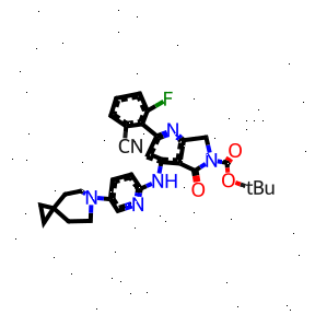 CC(C)(C)OC(=O)N1Cc2nc(-c3c(F)cccc3C#N)cc(Nc3ccc(N4CCC5(CC4)CC5)cn3)c2C1=O